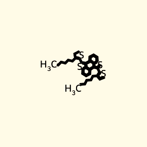 CCCCCCC1=C(c2sc3cccc4c5c(-c6sccc6CCCCCC)sc6cccc(c2c34)c65)SCC1